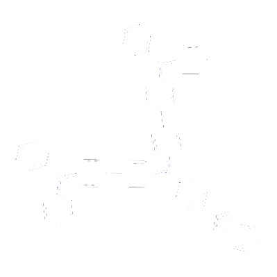 c1ccc(-n2c3ccccc3c3cc(-c4ccc5c(c4)c4cc(-c6ccc7c(c6)c6ccccc6n7-c6ccccc6)ccc4n5-c4ccc(-c5cc6ccccc6o5)cc4)ccc32)cc1